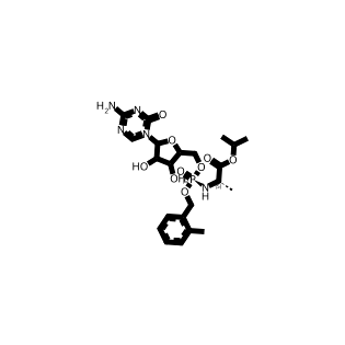 Cc1ccccc1CO[P@@](=O)(N[C@@H](C)C(=O)OC(C)C)OCC1OC(n2cnc(N)nc2=O)C(O)C1O